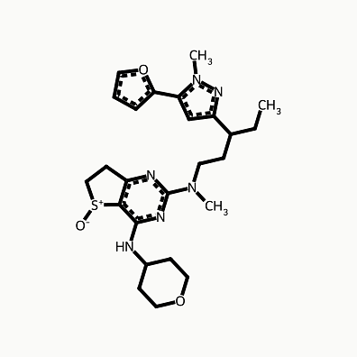 CCC(CCN(C)c1nc2c(c(NC3CCOCC3)n1)[S+]([O-])CC2)c1cc(-c2ccco2)n(C)n1